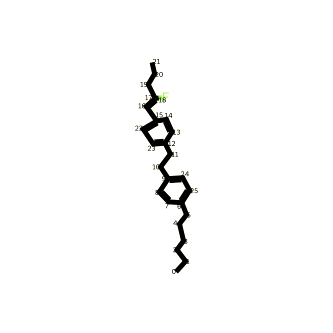 CCCCCCc1ccc(CCc2ccc(C=C(F)CCC)cc2)cc1